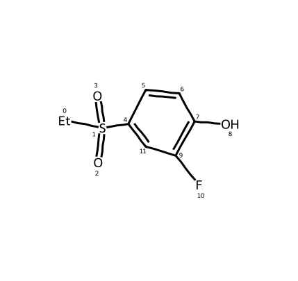 CCS(=O)(=O)c1ccc(O)c(F)c1